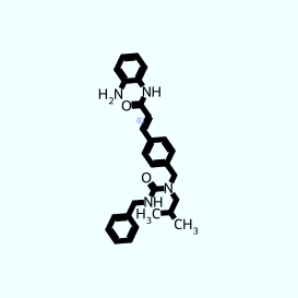 CC(C)CN(Cc1ccc(/C=C/C(=O)Nc2ccccc2N)cc1)C(=O)NCc1ccccc1